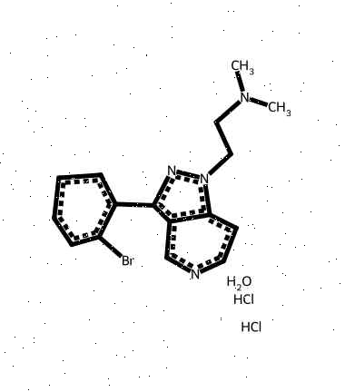 CN(C)CCn1nc(-c2ccccc2Br)c2cnccc21.Cl.Cl.O